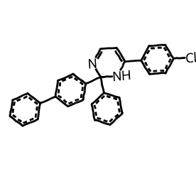 Clc1ccc(C2=CC=NC(c3ccccc3)(c3ccc(-c4ccccc4)cc3)N2)cc1